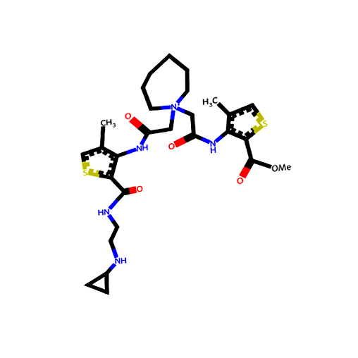 COC(=O)c1scc(C)c1NC(=O)C[N+]1(CC(=O)Nc2c(C)csc2C(=O)NCCNC2CC2)CCCCCC1